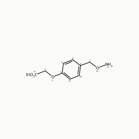 CCOC(=O)COc1ccc(CON)cc1